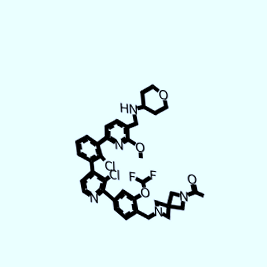 COc1nc(-c2cccc(-c3ccnc(-c4ccc(CN5CC6(C5)CN(C(C)=O)C6)c(OC(F)F)c4)c3Cl)c2Cl)ccc1CNC1CCOCC1